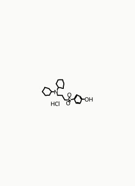 Cl.O=S(=O)(CCCN(C1CCCCC1)C1CCCCC1)c1ccc(O)cc1